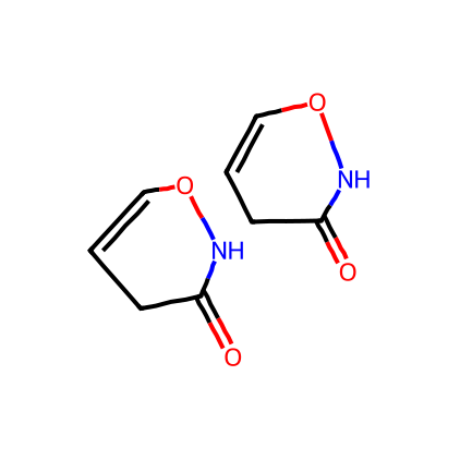 O=C1CC=CON1.O=C1CC=CON1